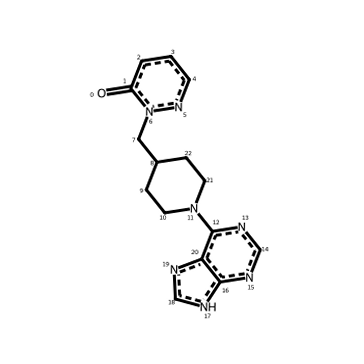 O=c1cccnn1CC1CCN(c2ncnc3[nH]cnc23)CC1